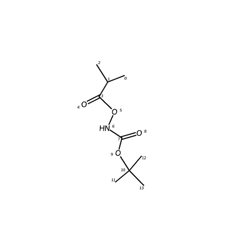 CC(C)C(=O)ONC(=O)OC(C)(C)C